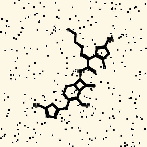 Nc1nnc(SC2=C(C(=O)O)N3C(=O)[C@@H](NC(=O)C(=NOCCF)c4nc(N)sc4Cl)C3SC2)s1